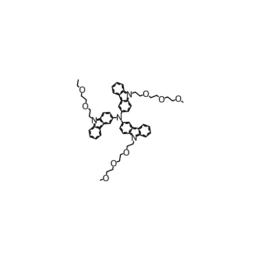 CCOCCOCCn1c2ccccc2c2cc(N(c3ccc4c(c3)c3ccccc3n4CCOCCOCCOC)c3ccc4c(c3)c3ccccc3n4CCOCCOCCOC)ccc21